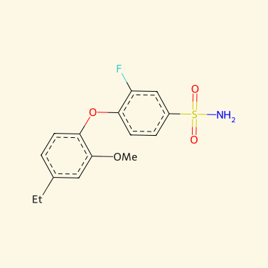 CCc1ccc(Oc2ccc(S(N)(=O)=O)cc2F)c(OC)c1